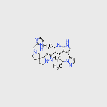 CC1N=c2[nH]cc(-c3ccnn3C(C)C)c2=CC1c1cc2n(n1)CCC21CCN(Cc2ncc[nH]2)C1